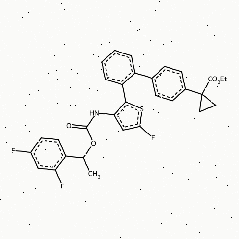 CCOC(=O)C1(c2ccc(-c3ccccc3-c3sc(F)cc3NC(=O)OC(C)c3ccc(F)cc3F)cc2)CC1